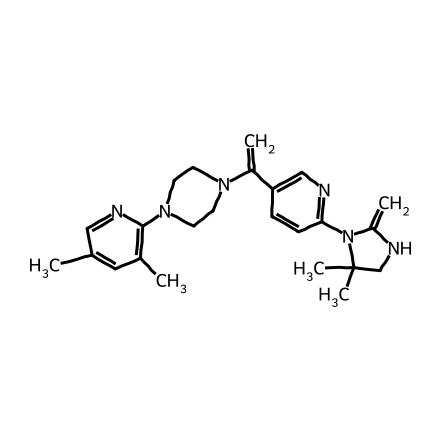 C=C(c1ccc(N2C(=C)NCC2(C)C)nc1)N1CCN(c2ncc(C)cc2C)CC1